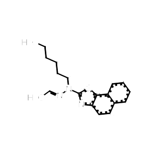 C/C=N/N(CCCCCC)c1nc2ccc3ccccc3c2s1